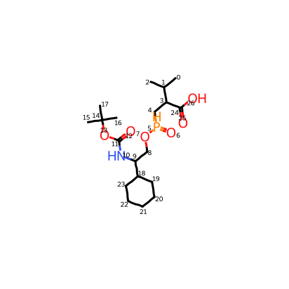 CC(C)C(C[PH](=O)OCC(NC(=O)OC(C)(C)C)C1CCCCC1)C(=O)O